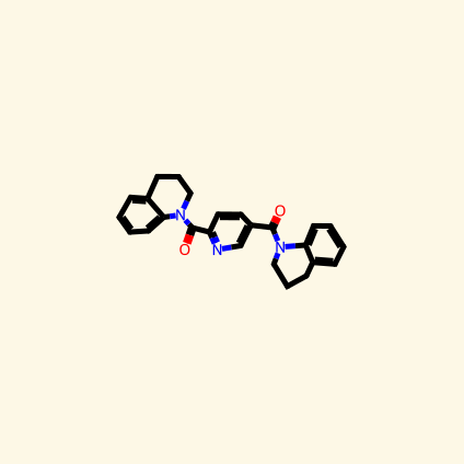 O=C(c1ccc(C(=O)N2CCCc3ccccc32)nc1)N1CCCc2ccccc21